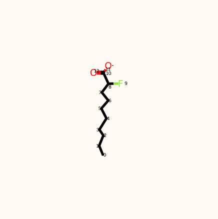 CCCCCCCCC(F)C([O])=O